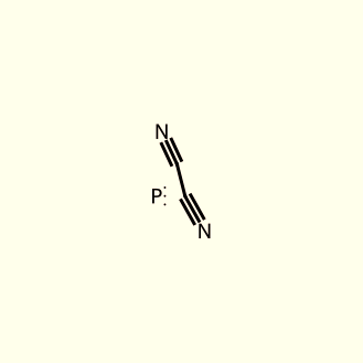 N#CC#N.[P]